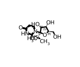 C[SiH](C)[C@@]1(n2ccc(=O)[nH]c2=O)O[C@H](CO)[C@@H](O)[C@H]1O